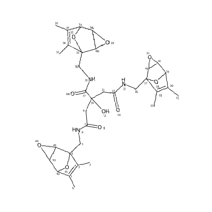 CC1=C(C)C2(CNC(=O)CC(O)(CC(=O)NCC34OC(C(C)=C3C)C3OC34)C(=O)NCC34OC(C(C)=C3C)C3OC34)OC1C1OC12